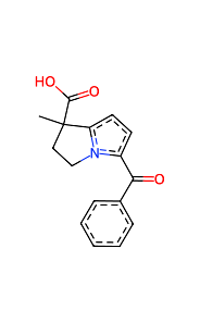 CC1(C(=O)O)CCn2c(C(=O)c3ccccc3)ccc21